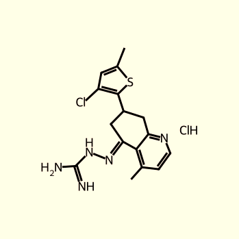 Cc1cc(Cl)c(C2CC(=NNC(=N)N)c3c(C)ccnc3C2)s1.Cl